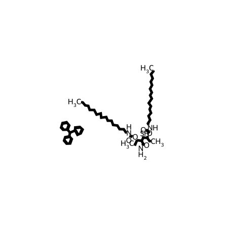 CCCCCCCCCCCCCCCCCNC(=O)OC(CC)C(S)C(C(N)=O)C(CC)OC(=O)NCCCCCCCCCCCCCCCCC.c1ccc(C(c2ccccc2)c2ccccc2)cc1